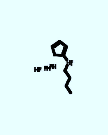 CCC[CH2][Hf][C]1=CC=CC1.F.F.F